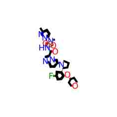 Cc1ccc(N(C)S(=O)(=O)NC(=O)c2cnc3ccc(N4CCC[C@@H]4c4cc(F)ccc4OC4CCOCC4)cn23)nn1